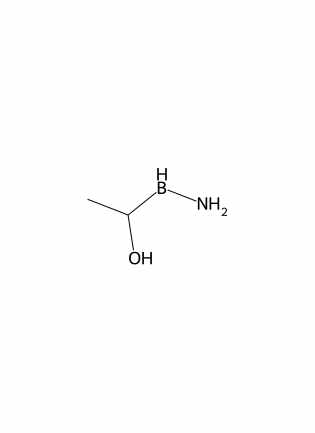 CC(O)BN